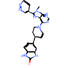 Cn1c(-c2ccnnc2)nc2c(N3CCC(c4ccc5c(c4)[N]C(=O)N5)CC3)ncnc21